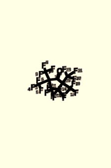 O=C(C(C(F)(F)F)(C(F)(F)F)C(F)(F)F)C(C(F)(F)F)(C(F)(F)F)C(F)(F)F